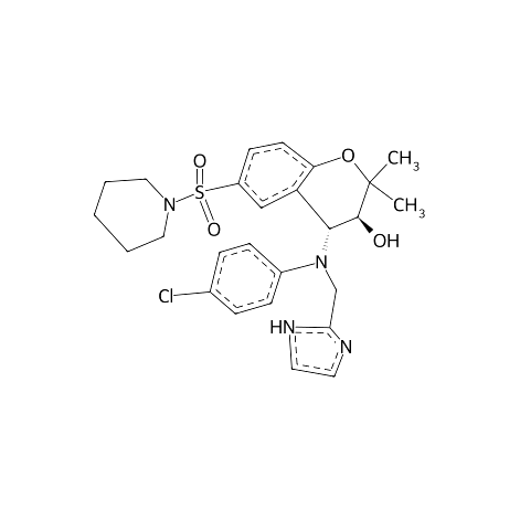 CC1(C)Oc2ccc(S(=O)(=O)N3CCCCC3)cc2[C@@H](N(Cc2ncc[nH]2)c2ccc(Cl)cc2)[C@@H]1O